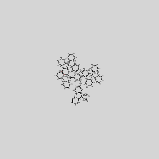 CC1(C)c2ccccc2-c2ccc(N(c3cccc(N(c4cccc(C5(c6ccccc6)c6ccccc6-c6ccccc65)c4)c4ccccc4-c4ccccc4)c3)c3cccc(C4(c5ccccc5)c5ccccc5-c5ccccc54)c3)cc21